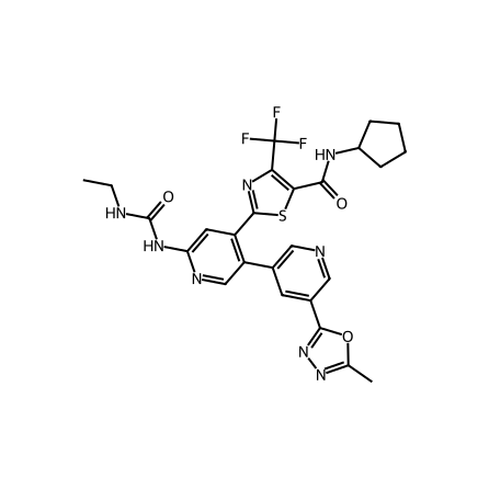 CCNC(=O)Nc1cc(-c2nc(C(F)(F)F)c(C(=O)NC3CCCC3)s2)c(-c2cncc(-c3nnc(C)o3)c2)cn1